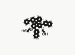 OCCOc1ccc(C2(c3ccc(OCCO)c(-c4ccc5ccccc5c4)c3)c3ccccc3-c3ccc(-c4ccccc4)cc32)cc1-c1ccc2ccccc2c1